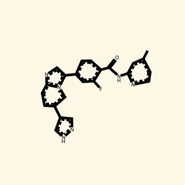 Cc1ccnc(NC(=O)c2ccc(-c3cnc4ccc(-c5cn[nH]c5)cn34)cc2F)c1